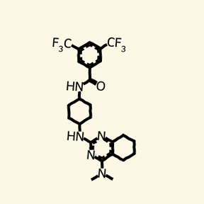 CN(C)c1nc(NC2CCC(NC(=O)c3cc(C(F)(F)F)cc(C(F)(F)F)c3)CC2)nc2c1CCCC2